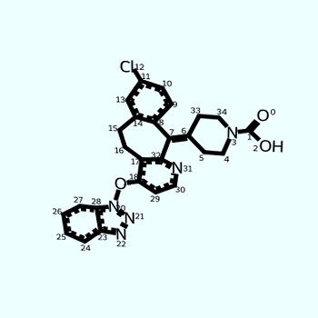 O=C(O)N1CCC(=C2c3ccc(Cl)cc3CCc3c(On4nnc5ccccc54)ccnc32)CC1